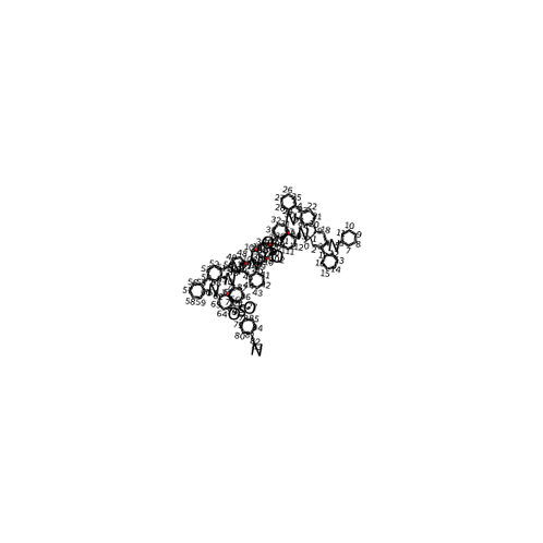 CC12C=c3c(n(-c4ccccc4)c4ccccc34)=CC1c1ccc3c4ccccc4n(-c4ccc(-c5ccc(-n6c7ccccc7c7c6ccc6c8ccc9c%10ccccc%10n(-c%10ccccc%10)c9c8n(-c8ccc(S(=O)(=O)c9ccc(C#N)cc9)cc8)c67)cc5)cc4)c3c1N2c1ccc(S(=O)(=O)c2ccc(C#N)cc2)cc1